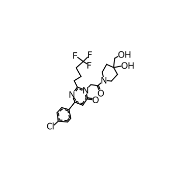 O=C(Cn1c(CCCC(F)(F)F)nc(-c2ccc(Cl)cc2)cc1=O)N1CCC(O)(CO)CC1